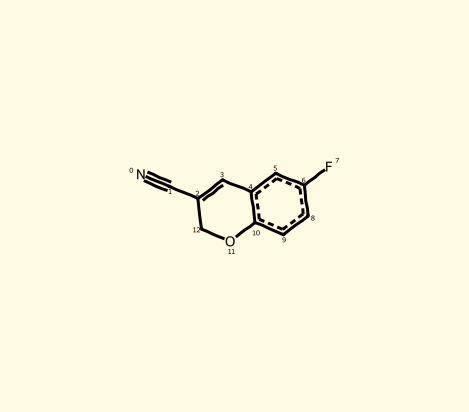 N#CC1=Cc2cc(F)ccc2OC1